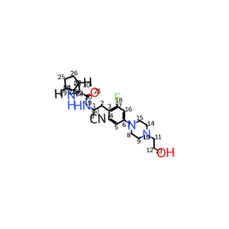 N#C[C@H](Cc1ccc(N2CCN(CCO)CC2)cc1F)NC(=O)[C@H]1N[C@@H]2CC[C@H]1C2